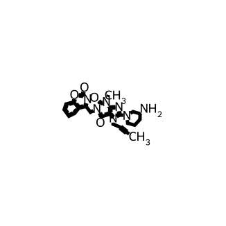 CC#CCn1c(N2CCCC(N)C2)nc2c1c(=O)n(Cc1nc(=O)oc3ccccc13)c(=O)n2C